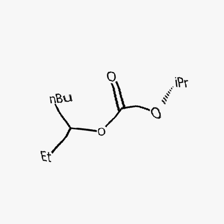 [CH2][C@@H](C)OC(=O)OC(CC)CCCC